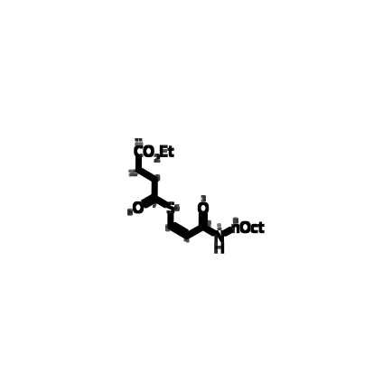 CCCCCCCCNC(=O)/C=C\SC(=O)CCC(=O)OCC